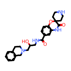 O=C(NCC(O)CN1CCc2ccccc2C1)c1ccc2c(c1)NC(=O)C1(CCNCC1)O2